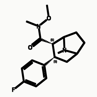 CON(C)C(=O)[C@@H]1C2CCC(C[C@@H]1c1ccc(F)cc1)N2C